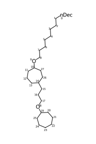 [CH2]CCCCCCCCCCCCCCCCCOC1CCCC(CCCOC2CC[CH]CCC2)CC1